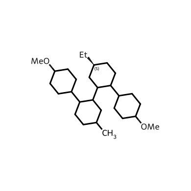 CC[C@H]1CCC(C2CCC(OC)CC2)C(C2CC(C)CCC2C2CCC(OC)CC2)C1